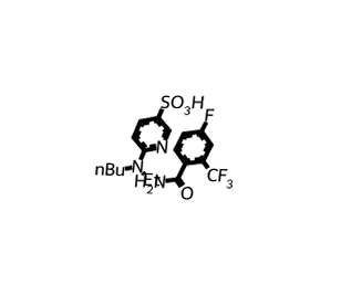 CCCCN(CC)c1ccc(S(=O)(=O)O)cn1.NC(=O)c1ccc(F)cc1C(F)(F)F